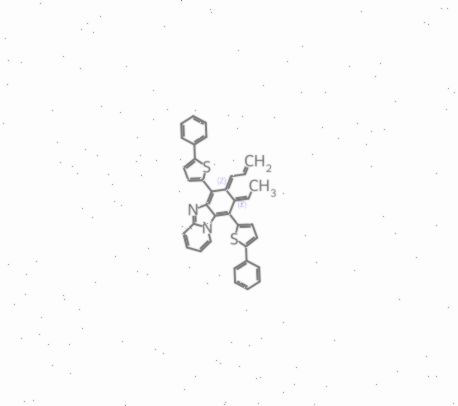 C=C/C=c1/c(-c2ccc(-c3ccccc3)s2)c2nc3ccccn3c2c(-c2ccc(-c3ccccc3)s2)/c1=C/C